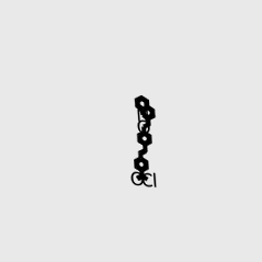 O=C(Cl)c1ccc(/C=C/c2ccc(OCc3ccc4ccccc4n3)cc2)cc1